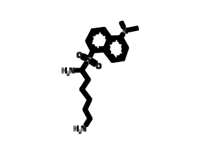 CN(C)c1cccc2c(S(=O)(=O)C(N)CCCCCN)cccc12